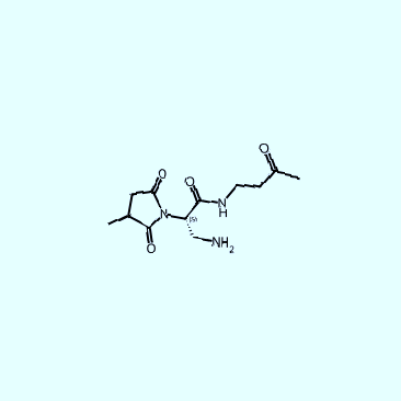 CC(=O)CCNC(=O)[C@H](CN)N1C(=O)CC(C)C1=O